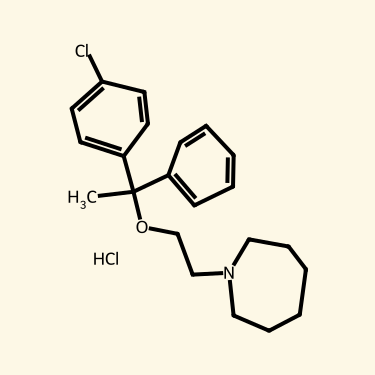 CC(OCCN1CCCCCC1)(c1ccccc1)c1ccc(Cl)cc1.Cl